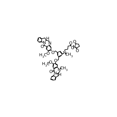 COc1cc2c(cc1OCc1cc(COc3cc4c(cc3OC)C(=O)N3c5ccccc5C[C@H]3CN4C)cc(N(C)CCCC(=O)ON3C(=O)CCC3=O)c1)N=C[C@@H]1Cc3ccccc3N1C2=O